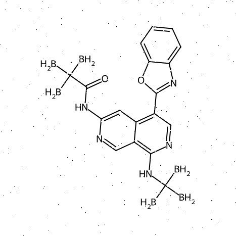 BC(B)(B)Nc1ncc(-c2nc3ccccc3o2)c2cc(NC(=O)C(B)(B)B)ncc12